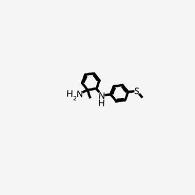 CSc1ccc(NC2C=CC=CC2(C)N)cc1